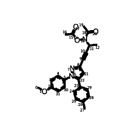 COc1ccc(-n2nc(C#CC(C)N(OC(C)=O)C(C)=O)cc2-c2ccc(C)cc2)cc1